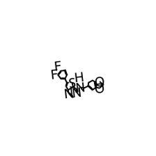 Fc1ccc(C2=CC3N=CN=C(NCC4=CC5=C(CC4)OCO5)C3S2)cc1F